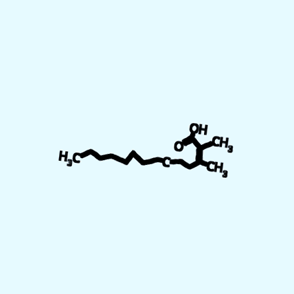 CCCCCCCCCCCC(C)=C(C)C(=O)O